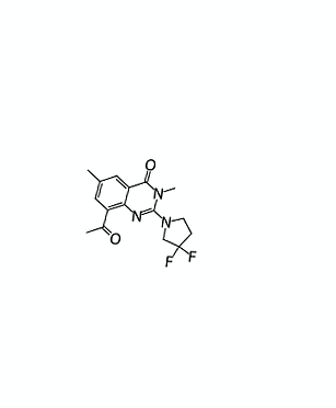 CC(=O)c1cc(C)cc2c(=O)n(C)c(N3CCC(F)(F)C3)nc12